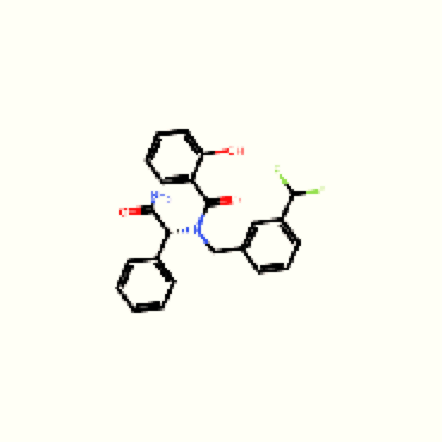 NC(=O)[C@@H](c1ccccc1)N(Cc1cccc(C(F)F)c1)C(=O)c1ccccc1O